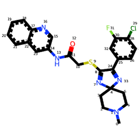 CN1CCC2(CC1)N=C(SCC(=O)Nc1cnc3ccccc3c1)C(c1ccc(Cl)c(F)c1)=N2